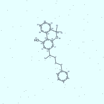 CC(CCCc1ccccc1)c1cc(O)c2c(c1)OC(C)(C)c1ccncc1-2